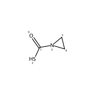 O=C(S)N1CC1